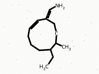 CCC1CCCC=C/C(=C/N)CCC1C